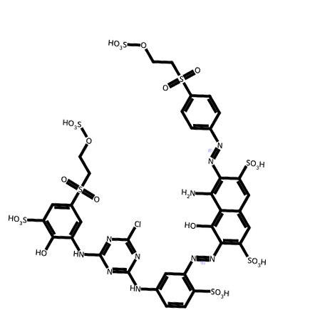 Nc1c(/N=N/c2ccc(S(=O)(=O)CCOS(=O)(=O)O)cc2)c(S(=O)(=O)O)cc2cc(S(=O)(=O)O)c(/N=N/c3cc(Nc4nc(Cl)nc(Nc5cc(S(=O)(=O)CCOS(=O)(=O)O)cc(S(=O)(=O)O)c5O)n4)ccc3S(=O)(=O)O)c(O)c12